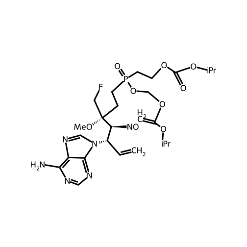 C=C[C@@H]([C@H](N=O)[C@@](CF)(CCP(=O)(CCOC(=O)OC(C)C)OCOC(=C)OC(C)C)OC)n1cnc2c(N)ncnc21